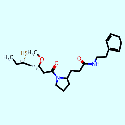 CC[C@H](S)C[C@@H](CC(=O)N1CCCC1CCC(=O)NCCC1=CCCC=C1)OC